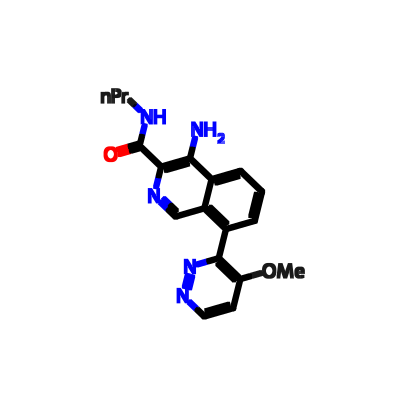 CCCNC(=O)c1ncc2c(-c3nnccc3OC)cccc2c1N